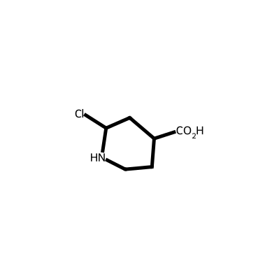 O=C(O)C1CCNC(Cl)C1